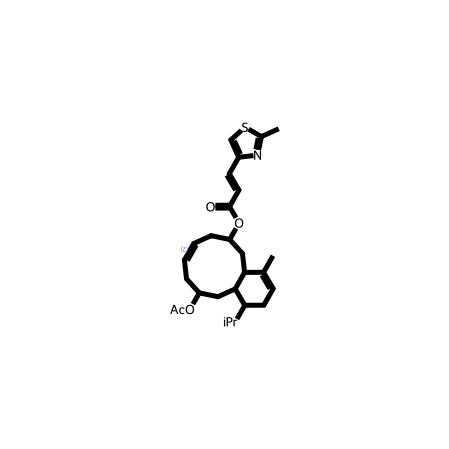 CC(=O)OC1C/C=C\CC(OC(=O)C=Cc2csc(C)n2)CC2C(C)=CCC(C(C)C)C2C1